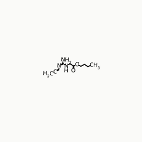 C=C=CN=C(N)NCC(=O)OCCCC